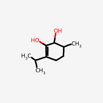 CC(C)C1=C(O)C(O)C(C)CC1